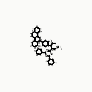 Cc1oc2cc(-c3cc4c5ccccc5ccc4c4ccccc34)ccc2c1/C(=C\N)c1nc(-c2ccccc2)nc(-c2ccccc2)n1